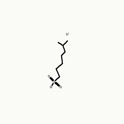 CC(C)CCCCCS(=O)(=O)[O-].[Li+]